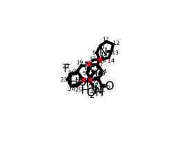 NC(=O)c1cccc(C2CC3CCC(C2)N3CCN(Cc2c(F)cccc2F)C(=O)[C@@H](O)CO)c1